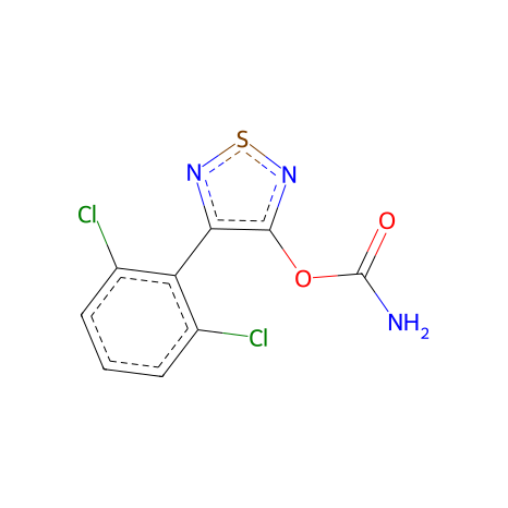 NC(=O)Oc1nsnc1-c1c(Cl)cccc1Cl